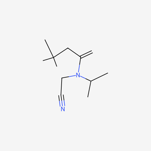 C=C(CC(C)(C)C)N(CC#N)C(C)C